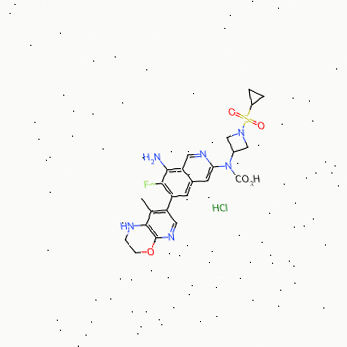 Cc1c(-c2cc3cc(N(C(=O)O)C4CN(S(=O)(=O)C5CC5)C4)ncc3c(N)c2F)cnc2c1NCCO2.Cl